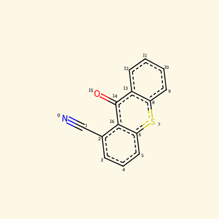 N#Cc1cccc2sc3ccccc3c(=O)c12